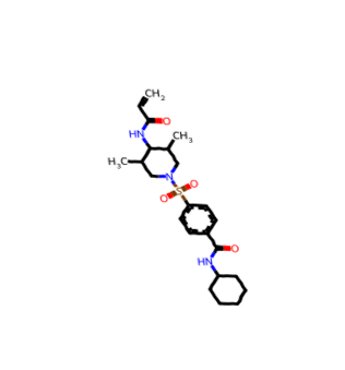 C=CC(=O)NC1C(C)CN(S(=O)(=O)c2ccc(C(=O)NC3CCCCC3)cc2)CC1C